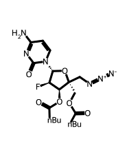 CCCCC(=O)OC[C@@]1(CN=[N+]=[N-])O[C@@H](n2ccc(N)nc2=O)[C@H](F)[C@@H]1OC(=O)CCCC